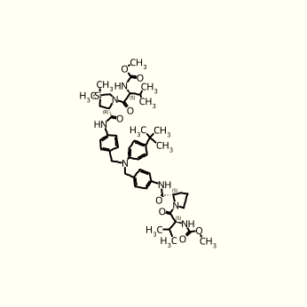 COC(=O)N[C@H](C(=O)N1CCC[C@H]1C(=O)Nc1ccc(CN(Cc2ccc(NC(=O)[C@@H]3C[Si](C)(C)CN3C(=O)[C@@H](NC(=O)OC)C(C)C)cc2)c2ccc(C(C)(C)C)cc2)cc1)C(C)C